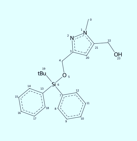 Cn1nc(CO[Si](c2ccccc2)(c2ccccc2)C(C)(C)C)cc1CO